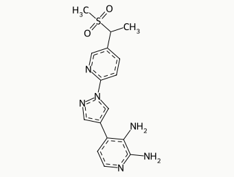 CC(c1ccc(-n2cc(-c3ccnc(N)c3N)cn2)nc1)S(C)(=O)=O